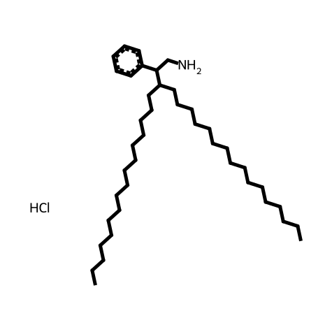 CCCCCCCCCCCCCCCCC(CCCCCCCCCCCCCCCC)C(CN)c1ccccc1.Cl